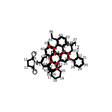 B/C=C1/C(=C\C(=C/C)N2C(=O)CCC2=O)C2(C)CCCCC2(C)N1c1cc(-c2ccccc2C)c(CCC)c(-c2c(N)ccc(CC)c2C(/C=C\C=C/C)=C\C)c1-c1ccccc1-c1ccccc1